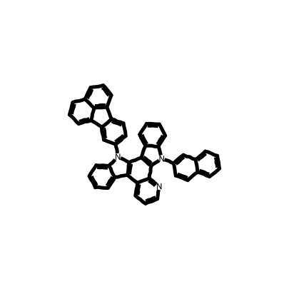 c1ccc2cc(-n3c4ccccc4c4c3c3ncccc3c3c5ccccc5n(-c5ccc6c(c5)-c5cccc7cccc-6c57)c34)ccc2c1